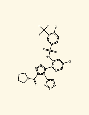 O=C(c1nnc(-c2ncc(Cl)cc2NS(=O)(=O)c2ccc(Cl)c(C(F)(F)F)c2)n1-c1ccon1)N1CCCC1